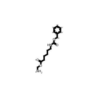 NCOC(=O)CCCCCNC(=O)OCc1ccccc1